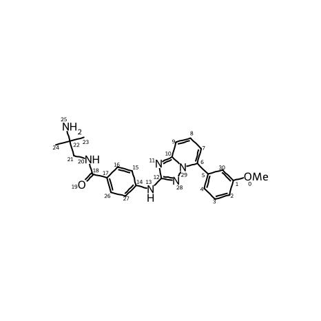 COc1cccc(-c2cccc3nc(Nc4ccc(C(=O)NCC(C)(C)N)cc4)nn23)c1